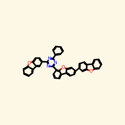 c1ccc(-c2nc(-c3ccc4oc5ccccc5c4c3)nc(-c3cccc4c3oc3cc(-c5ccc6c(c5)oc5ccccc56)ccc34)n2)cc1